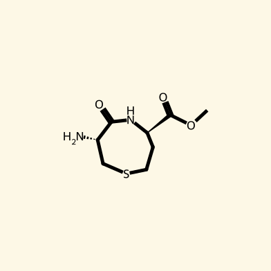 COC(=O)[C@H]1CCSC[C@H](N)C(=O)N1